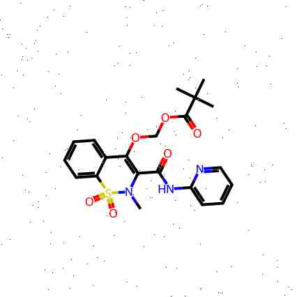 CN1C(C(=O)Nc2ccccn2)=C(OCOC(=O)C(C)(C)C)c2ccccc2S1(=O)=O